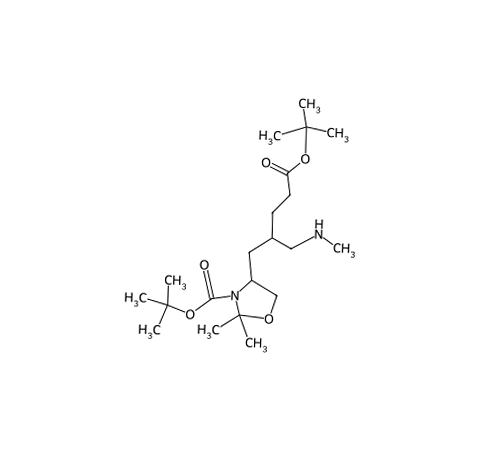 CNCC(CCC(=O)OC(C)(C)C)CC1COC(C)(C)N1C(=O)OC(C)(C)C